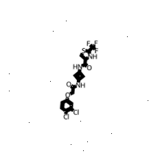 O=C(COc1ccc(Cl)c(Cl)c1)NC12CC(NC(=O)C3CSC(C(F)(F)F)N3)(C1)C2